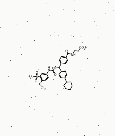 CS(=O)(=O)c1cc(NC(=O)NC(c2ccc(C(=O)NCCC(=O)O)cc2)c2ccc(C3CCCCC3)cc2)ccc1OC(F)(F)F